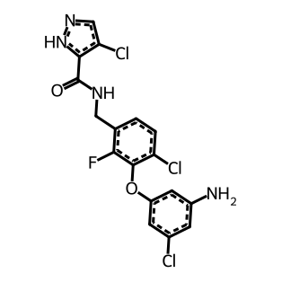 Nc1cc(Cl)cc(Oc2c(Cl)ccc(CNC(=O)c3[nH]ncc3Cl)c2F)c1